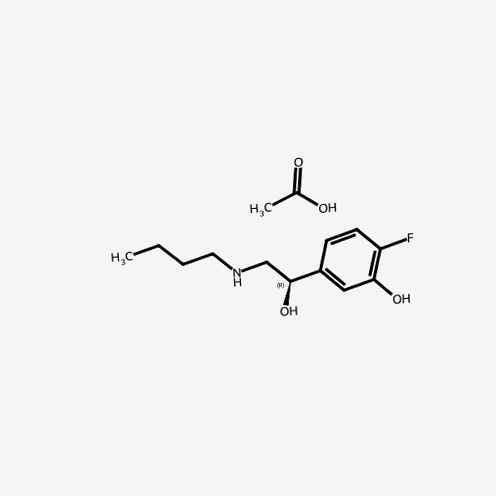 CC(=O)O.CCCCNC[C@H](O)c1ccc(F)c(O)c1